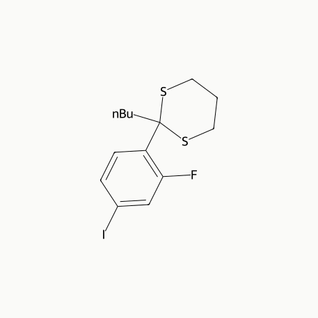 CCCCC1(c2ccc(I)cc2F)SCCCS1